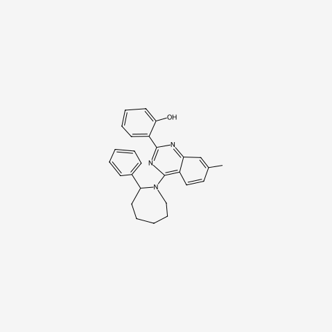 Cc1ccc2c(N3CCCCCC3c3ccccc3)nc(-c3ccccc3O)nc2c1